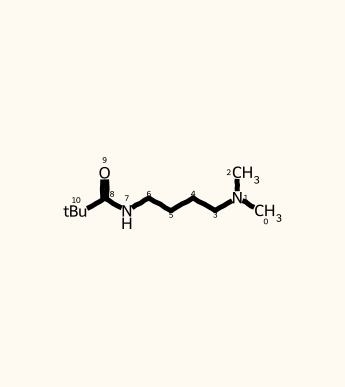 CN(C)CCCCNC(=O)C(C)(C)C